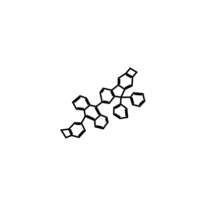 c1ccc(C2(c3ccccc3)c3cc(-c4c5ccccc5c(-c5ccc6c(c5)CC6)c5ccccc45)ccc3-c3cc4c(cc32)CC4)cc1